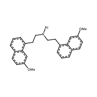 COc1ccc2cccc(CCN(CCc3cccc4ccc(OC)cc34)C(C)=O)c2c1